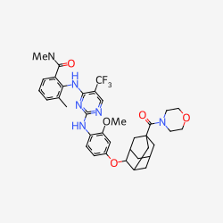 CNC(=O)c1cccc(C)c1Nc1nc(Nc2ccc(OC3C4CC5CC3CC(C(=O)N3CCOCC3)(C5)C4)cc2OC)ncc1C(F)(F)F